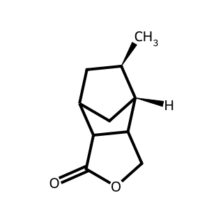 C[C@@H]1CC2C[C@H]1C1COC(=O)C21